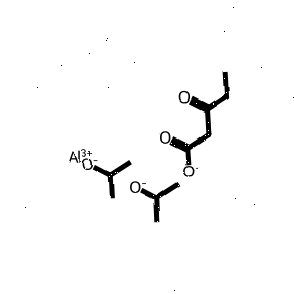 CC(C)[O-].CC(C)[O-].CCC(=O)CC(=O)[O-].[Al+3]